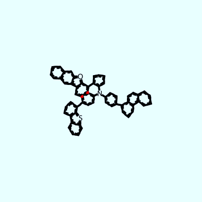 c1ccc(N(c2ccc(-c3cccc4c3ccc3ccccc34)cc2)c2ccc(-c3cccc4c3sc3ccccc34)cc2)c(-c2cccc3c2oc2cc4ccccc4cc23)c1